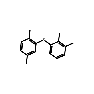 Cc1ccc(C)c(Sc2cccc(C)c2C)c1